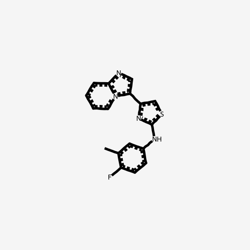 Cc1cc(Nc2nc(-c3cnc4ccccn34)cs2)ccc1F